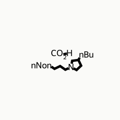 CC(=O)O.CCCCCCCCCCCCN1CCC(CCCC)C1